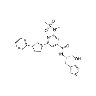 CN(c1cc(C(=O)N[C@H](CO)Cc2ccsc2)cc(N2CCC(c3ccccc3)C2)n1)S(C)(=O)=O